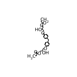 C=CC(=O)OCC(O)COc1ccc(Cc2ccc(OCC(O)COC(=O)C=C)cc2)cc1